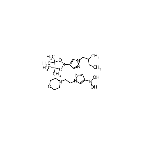 CCC(C)Cn1cc(B2OC(C)(C)C(C)(C)O2)cn1.OB(O)c1cnn(CCN2CCOCC2)c1